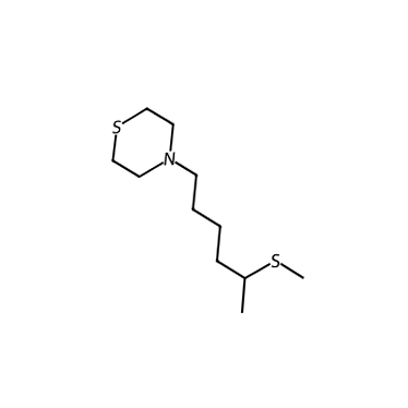 CSC(C)CCCCN1CCSCC1